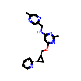 Cc1cnc(CNc2cc(OC[C@H]3C[C@@H]3c3ccccn3)nc(C)n2)cn1